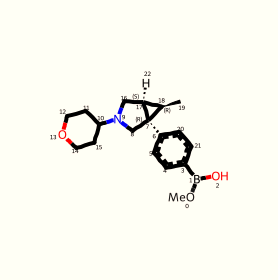 COB(O)c1ccc([C@]23CN(C4CCOCC4)C[C@H]2[C@H]3C)cc1